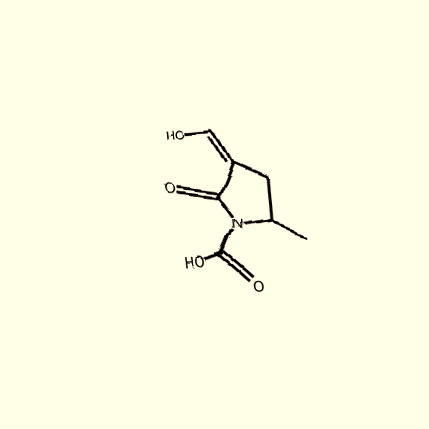 CC1C/C(=C/O)C(=O)N1C(=O)O